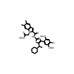 COC(=O)Cn1c(C(=O)Nc2nc(-c3cc(OC)c(Cl)cc3OC)c(C(C)C3CCCCC3)s2)cc2cc(C)c(C)cc21